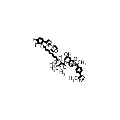 Cc1ncsc1-c1ccc([C@H](C)NC(=O)C2C[C@@H](O)CN(C(=O)[C@@H](NC(=O)CCCCCCCOc3c(-c4csc(N5CCOCC5)n4)ccc(F)c3F)C(C)(C)C)C2[SiH3])cc1